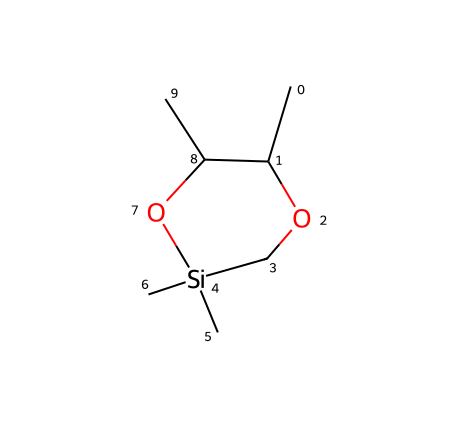 CC1OC[Si](C)(C)OC1C